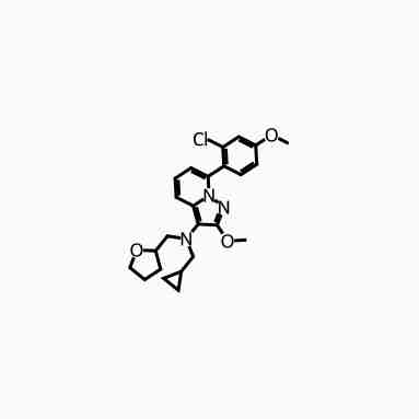 COc1ccc(-c2cccc3c(N(CC4CC4)CC4CCCO4)c(OC)nn23)c(Cl)c1